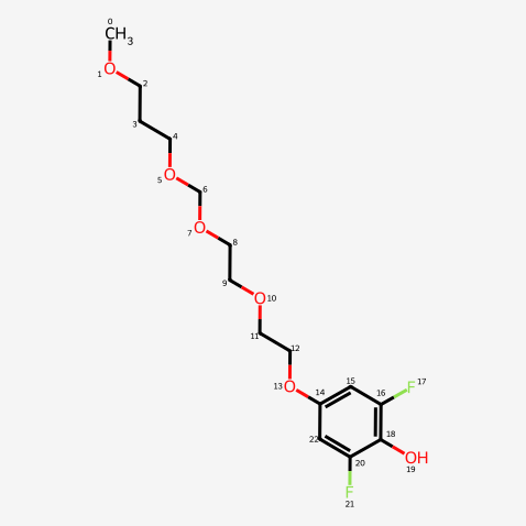 COCCCOCOCCOCCOc1cc(F)c(O)c(F)c1